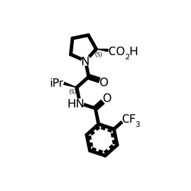 CC(C)[C@H](NC(=O)c1ccccc1C(F)(F)F)C(=O)N1CCC[C@H]1C(=O)O